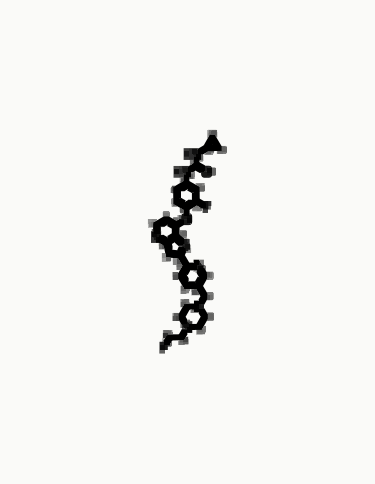 O=C(Nc1ccc(Oc2ccnc3cc(-c4ccc(CN5CCN(CCF)CC5)cn4)sc23)c(F)c1)NC1CC1